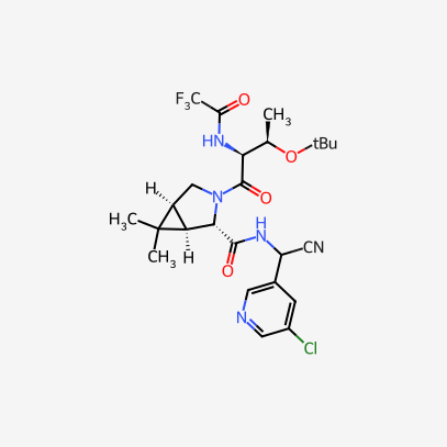 C[C@@H](OC(C)(C)C)[C@H](NC(=O)C(F)(F)F)C(=O)N1C[C@H]2[C@@H]([C@H]1C(=O)NC(C#N)c1cncc(Cl)c1)C2(C)C